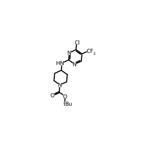 CC(C)(C)OC(=O)N1CCC(Nc2ncc(C(F)(F)F)c(Cl)n2)CC1